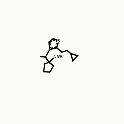 CNC1(C(C)c2ccsc2CCC2CC2)CCCC1